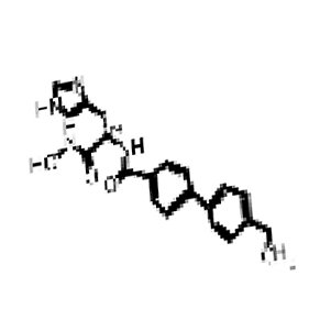 CCc1ccc(-c2ccc(C(=O)N[C@@H](Cc3c[nH]cn3)C(=O)NO)cc2)cc1